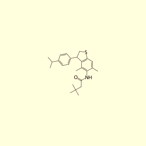 Cc1cc2c(c(C)c1NC(=O)CC(C)(C)C)C(c1ccc(C(C)C)cc1)CS2